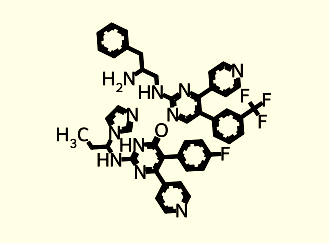 CCC(Nc1nc(-c2ccncc2)c(-c2ccc(F)cc2)c(=O)[nH]1)n1ccnc1.NC(CNc1ncc(-c2cccc(C(F)(F)F)c2)c(-c2ccncc2)n1)Cc1ccccc1